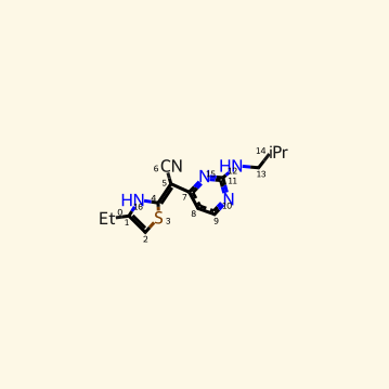 CCC1=CS/C(=C(/C#N)c2ccnc(NCC(C)C)n2)N1